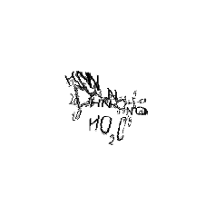 CC1(C)C(=O)N(CC(=O)O)c2cc3[nH]c(-c4n[nH]c5ccccc45)nc3cc21